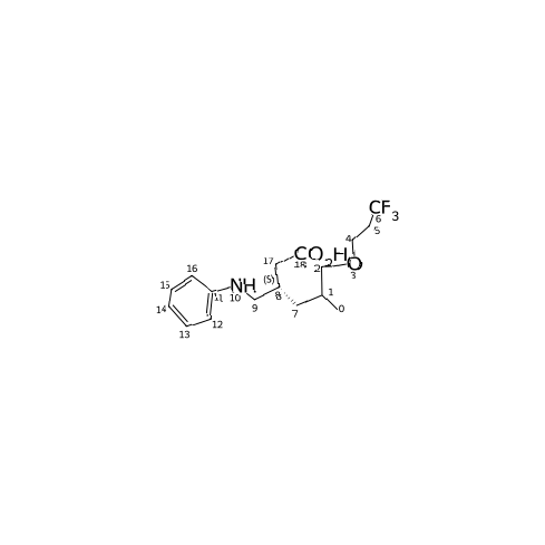 CC(COCCC(F)(F)F)C[C@H](CNc1ccccc1)CC(=O)O